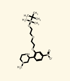 CN1CCNC(c2ccc([N+](=O)[O-])cc2OCCOCCO[Si](C)(C)C(C)(C)C)C1